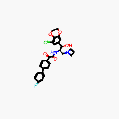 O=C(N[C@H](CN1CCC1)[C@H](O)c1cc(Cl)c2c(c1)OCCO2)C(=O)c1ccc(-c2ccc(F)cc2)cc1